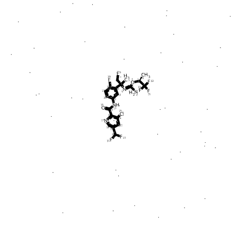 C[C@H](O/C(N)=N\C(C)(CF)c1cc(NC(=O)c2ncc(C(F)F)cc2Cl)ccc1F)C(F)(F)F